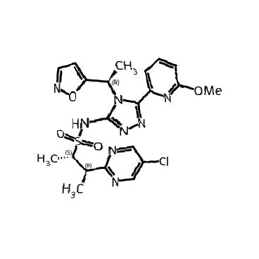 COc1cccc(-c2nnc(NS(=O)(=O)[C@@H](C)[C@H](C)c3ncc(Cl)cn3)n2[C@H](C)c2ccno2)n1